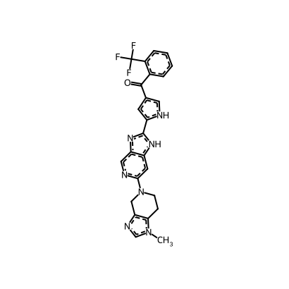 Cn1cnc2c1CCN(c1cc3[nH]c(-c4cc(C(=O)c5ccccc5C(F)(F)F)c[nH]4)nc3cn1)C2